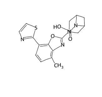 Cc1ccc(-c2nccs2)c2oc(N3CC4CC(C3)N4C(=O)O)nc12